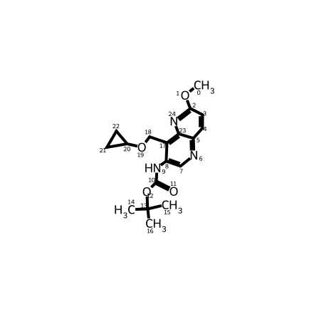 COc1ccc2ncc(NC(=O)OC(C)(C)C)c(COC3CC3)c2n1